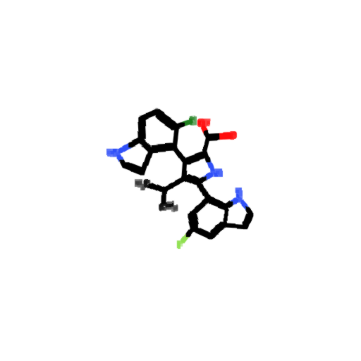 CC(C)c1c(-c2cc(F)cc3cc[nH]c23)[nH]c(C(=O)O)c1-c1c(Cl)ccc2[nH]ccc12